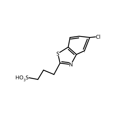 O=S(=O)(O)CCCc1nc2[c]c(Cl)ccc2s1